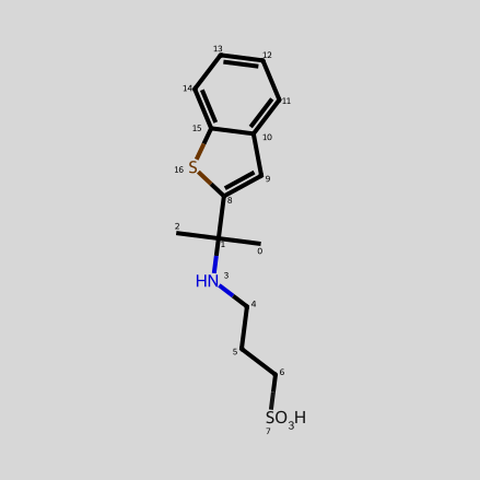 CC(C)(NCCCS(=O)(=O)O)c1cc2ccccc2s1